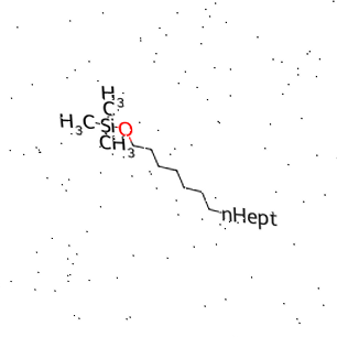 CCCCCCCCCCCCCCO[Si](C)(C)C